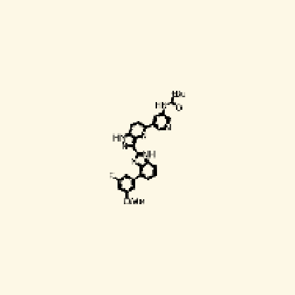 COc1cc(F)cc(-c2cccc3[nH]c(-c4n[nH]c5ccc(-c6cncc(NC(=O)C(C)(C)C)c6)nc45)nc23)c1